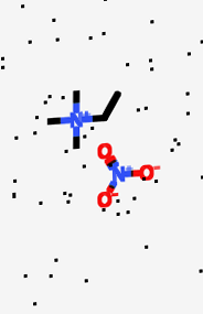 CC[N+](C)(C)C.O=[N+]([O-])[O-]